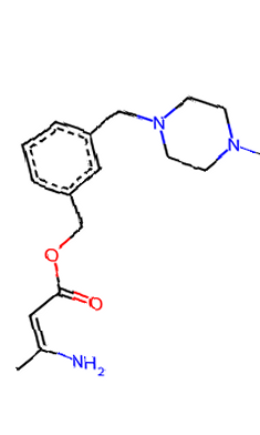 C/C(N)=C/C(=O)OCc1cccc(CN2CCN(C)CC2)c1